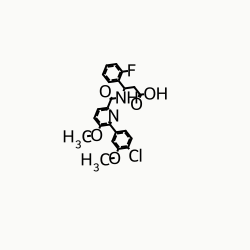 COc1cc(-c2nc(C(=O)NC(CC(=O)O)c3ccccc3F)ccc2OC)ccc1Cl